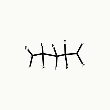 [CH2]C(F)C(F)(F)C(F)(F)C(F)(F)[C](F)F